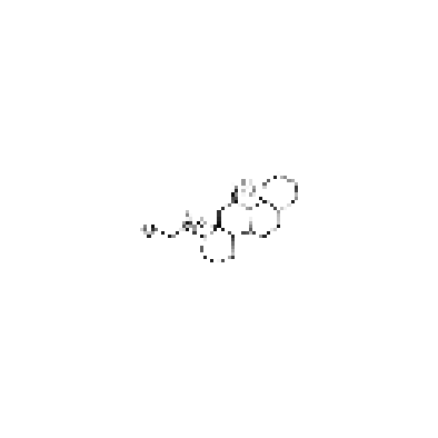 CC12CC(=O)C3C(CCC4CCCCC43C)C1CCCC2C(=O)CN